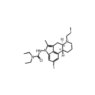 CCCN1CCC[C@@H]2c3cc(I)cc4c3c(c(C)n4NC(=O)N(CC)CC)C[C@H]21